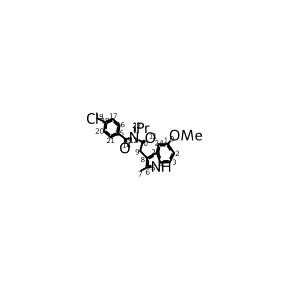 COc1ccc2[nH]c(C)c(CC(=O)N(C(=O)c3ccc(Cl)cc3)C(C)C)c2c1